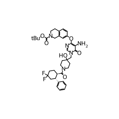 CC(C)(C)OC(=O)N1CCc2ccc(Oc3ncn(CC4(O)CCN(C(=O)[C@@H]5CCC(F)(F)C[C@H]5c5ccccc5)CC4)c(=O)c3N)cc2C1